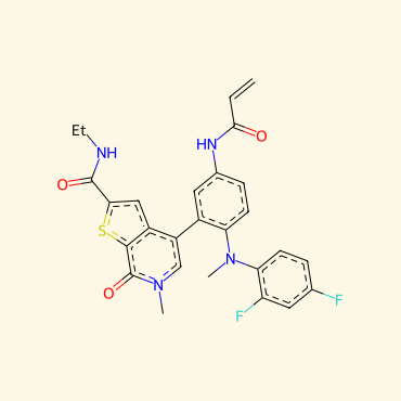 C=CC(=O)Nc1ccc(N(C)c2ccc(F)cc2F)c(-c2cn(C)c(=O)c3sc(C(=O)NCC)cc23)c1